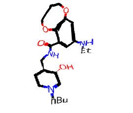 CCCCN1CC[C@@H](CNC(=O)c2cc(NCC)cc3c2OCCCO3)[C@H](O)C1